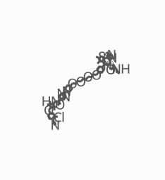 CCNC(=O)C[C@@H]1N=C(c2ccc(OCCOCCOCCOC3CCN(c4ncc(C(=O)NC5C(C)(C)C(Oc6ccc(C#N)c(Cl)c6)C5(C)C)cn4)CC3)cc2)c2c(sc(C)c2C)-n2c(C)nnc21